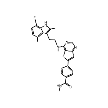 CNC(=O)c1ccc(-c2cc3ncnc(NCCc4c(C)[nH]c5c(F)ccc(C)c45)c3s2)cc1